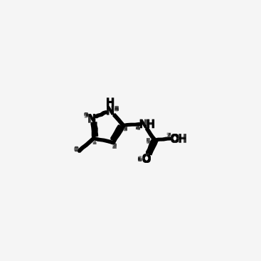 Cc1cc(NC(=O)O)[nH]n1